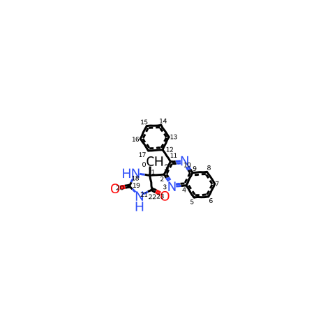 CC1(c2nc3ccccc3nc2-c2ccccc2)NC(=O)NC1=O